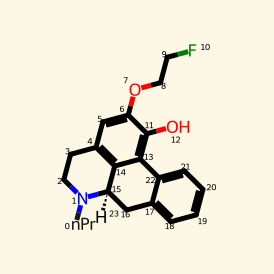 CCCN1CCc2cc(OCCF)c(O)c3c2[C@H]1Cc1ccccc1-3